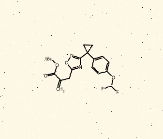 C=C(Cc1nc(C2(c3ccc(OC(F)F)cc3)CC2)no1)C(=O)OC(C)(C)C